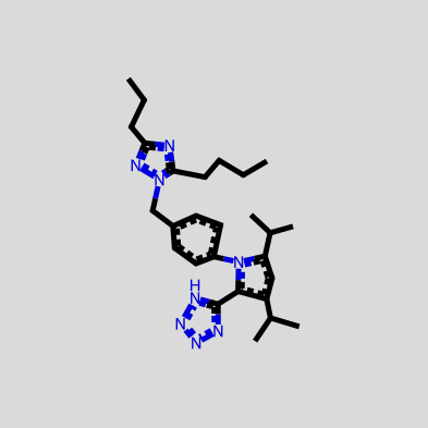 CCCCc1nc(CCC)nn1Cc1ccc(-n2c(C(C)C)cc(C(C)C)c2-c2nnn[nH]2)cc1